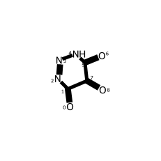 O=C1N=NNC(=O)C1=O